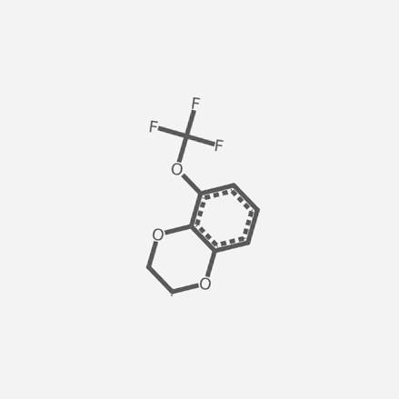 FC(F)(F)Oc1cccc2c1OC[CH]O2